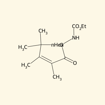 CCCCCCC(C)(C)C(C)=C(C)C(=O)ONC(=O)OCC